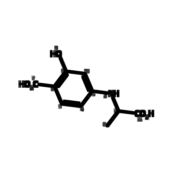 CC(Nc1ccc(C(=O)O)c(O)c1)C(=O)O